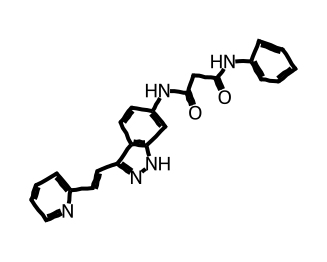 O=C(CC(=O)Nc1ccc2c(/C=C/c3ccccn3)n[nH]c2c1)Nc1ccccc1